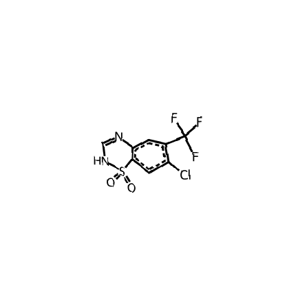 O=S1(=O)NC=Nc2cc(C(F)(F)F)c(Cl)cc21